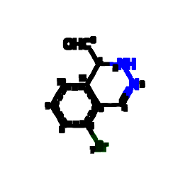 O=CC1NN=Cc2c(Br)cccc21